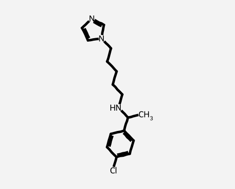 CC(NCCCCCn1ccnc1)c1ccc(Cl)cc1